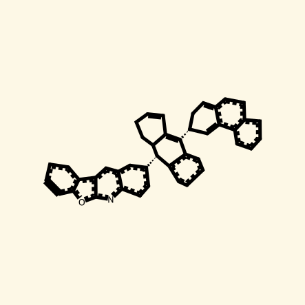 c1ccc2c(c#1)oc1nc3ccc([C@H]4c5ccccc5C([C@H]5C=c6c(ccc7ccccc67)=CC5)=C5C=CCCC54)cc3cc12